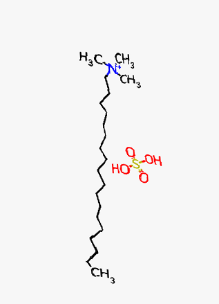 CCCCCCCCCCCCCCCCCC[N+](C)(C)C.O=S(=O)(O)O